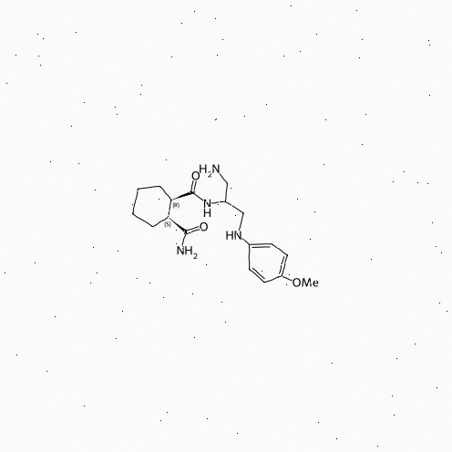 COc1ccc(NCC(CN)NC(=O)[C@@H]2CCCC[C@@H]2C(N)=O)cc1